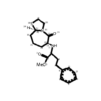 COC(=O)C(CCc1ccccc1)N[C@H]1CCC[C@H]2SCCN2C1=O